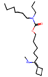 CCCCCCN(CCC)C(=O)OCCCCCC(NC)=C1CCC1